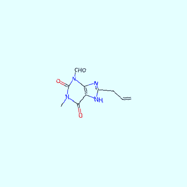 C=CCc1nc2c([nH]1)c(=O)n(C)c(=O)n2C=O